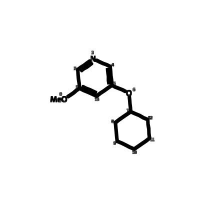 COc1cncc(OC2CCCCC2)c1